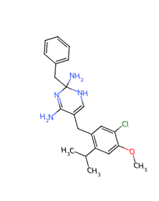 COc1cc(C(C)C)c(CC2=CNC(N)(Cc3ccccc3)N=C2N)cc1Cl